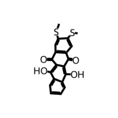 CSc1cc2c(cc1SC)C(=O)c1c(c(O)c3ccccc3c1O)C2=O